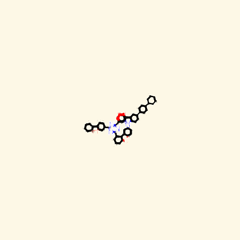 C1=CCC(c2ccc(-c3ccc4c(c3)c3ccccc3n4-c3ccc4oc5cccc(-c6nc(-c7ccccc7)nc(-c7ccc8c(c7)oc7ccccc78)n6)c5c4c3)cc2)C=C1